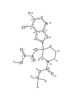 COC(=O)C(=O)OC1(c2cc3c(Cl)c(F)cnc3s2)CCCN(C(=O)OC(C)(C)C)C1C